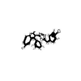 Cc1nc2ccc(Cl)cc2c(-c2ccccc2)c1-c1nnc(Cc2ccc(Cl)cc2)o1